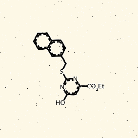 CCOC(=O)c1cc(O)nc(SCc2ccc3ccccc3c2)n1